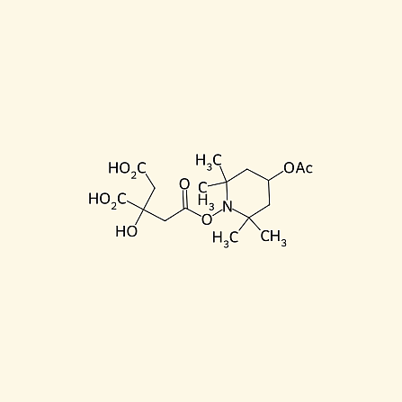 CC(=O)OC1CC(C)(C)N(OC(=O)CC(O)(CC(=O)O)C(=O)O)C(C)(C)C1